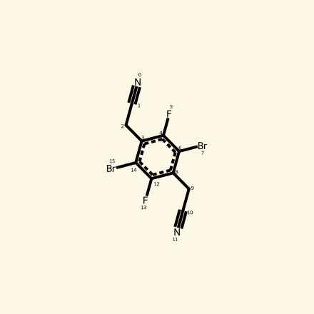 N#CCc1c(F)c(Br)c(CC#N)c(F)c1Br